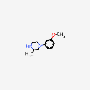 COc1cccc(N2CCN[C@H](C)C2)c1